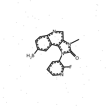 Bc1ccc2ncc3c(c2c1)n(-c1cccnc1F)c(=O)n3C